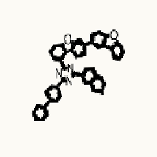 C1=CC2Oc3cc(-c4ccc5oc6ccccc6c5c4)ccc3C2C(c2nc(-c3ccc(-c4ccccc4)cc3)nc(-c3ccc4ccccc4c3)n2)=C1